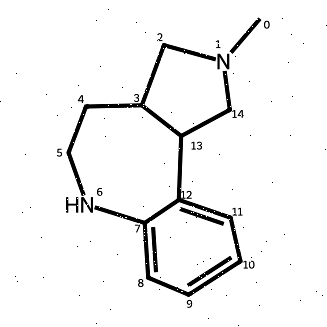 CN1CC2CCNc3ccccc3C2C1